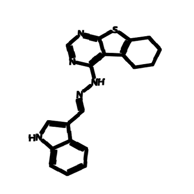 C(=NNc1ncnc2sc3c(c12)CCCC3)c1c[nH]c2ccccc12